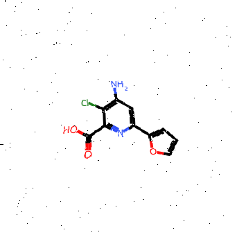 Nc1cc(-c2ccco2)nc(C(=O)O)c1Cl